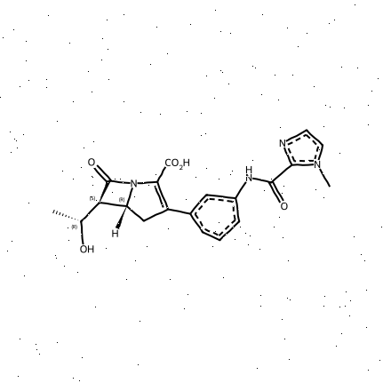 C[C@@H](O)[C@H]1C(=O)N2C(C(=O)O)=C(c3cccc(NC(=O)c4nccn4C)c3)C[C@H]12